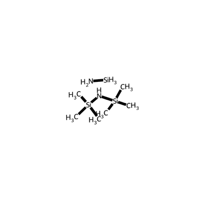 C[Si](C)(C)N[Si](C)(C)C.N[SiH3]